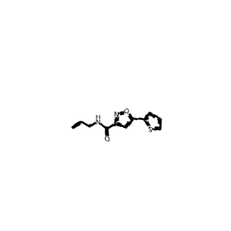 C=CCNC(=O)c1cc(-c2cccs2)on1